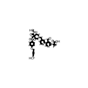 CC#CCOc1ccc(S(=O)(=O)CC2(C(=O)NO)CCN(Cc3ccncc3)CC2)cc1.Cl.ClCc1ccncc1.O=C(O)C(F)(F)F